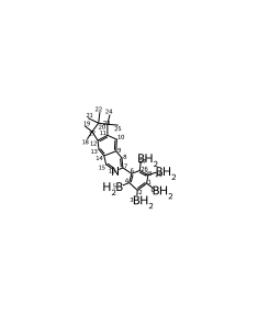 Bc1c(B)c(B)c(-c2cc3cc4c(cc3cn2)C(C)(C)C(C)(C)C4(C)C)c(B)c1B